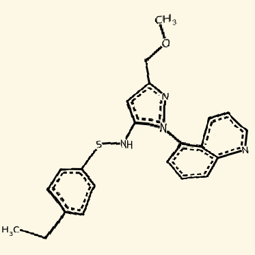 CCc1ccc(SNc2cc(COC)nn2-c2cccc3ncccc23)cc1